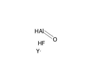 F.[O]=[AlH].[Y]